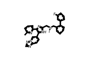 Cc1cccc(-c2nc(CN(I)Cc3ccccc3-c3cccc(F)c3)[nH]c2-c2ccc3ncnn3c2)n1